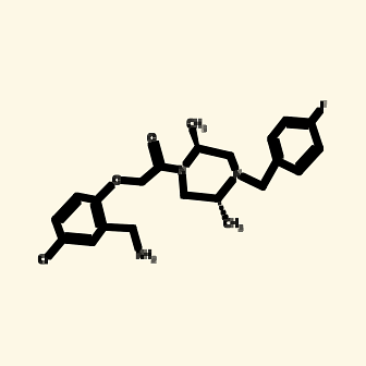 C[C@@H]1CN(C(=O)COc2ccc(Cl)cc2CN)[C@@H](C)CN1Cc1ccc(F)cc1